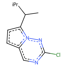 CC(C)C(C)c1ccc2cnc(Cl)nn12